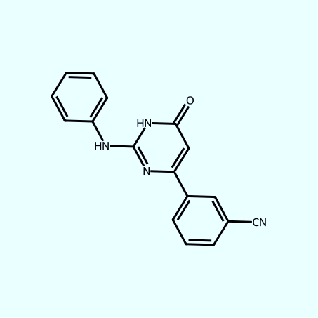 N#Cc1cccc(-c2cc(=O)[nH]c(Nc3ccccc3)n2)c1